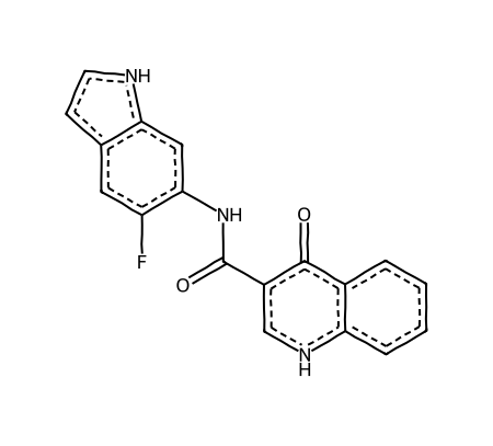 O=C(Nc1cc2[nH]ccc2cc1F)c1c[nH]c2ccccc2c1=O